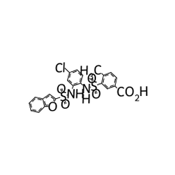 Cc1ccc(C(=O)O)cc1S(=O)(=O)Nc1ccc(Cl)cc1NS(=O)(=O)c1cc2ccccc2o1